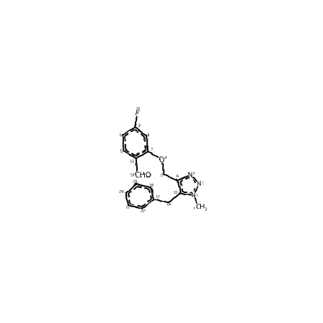 Cn1nnc(COc2cc(F)ccc2C=O)c1Cc1ccccc1